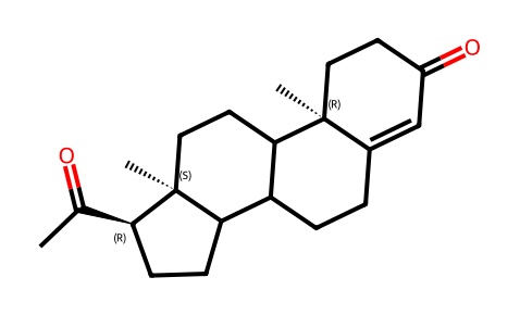 CC(=O)[C@@H]1CCC2C3CCC4=CC(=O)CC[C@]4(C)C3CC[C@@]21C